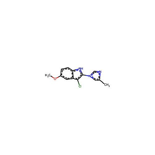 COc1ccc2[nH]c(-n3cnc(C)c3)c(Cl)c2c1